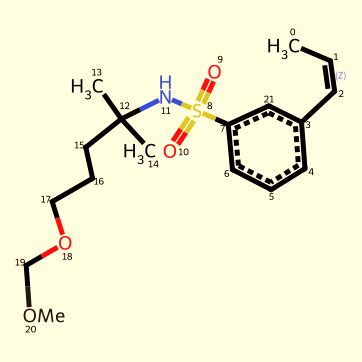 C/C=C\c1cccc(S(=O)(=O)NC(C)(C)CCCOCOC)c1